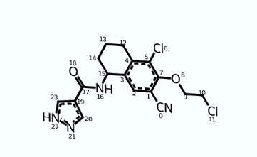 N#Cc1cc2c(c(Cl)c1OCCCl)CCCC2NC(=O)c1cn[nH]c1